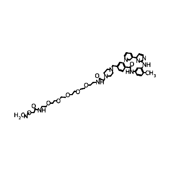 C=NOCC(=O)NCCOCCOCCOCCOCCOCCNC(=O)CN1CCN(Cc2ccc(C(=O)Nc3ccc(C)c(Nc4nccc(-c5cccnc5)n4)c3)cc2)CC1